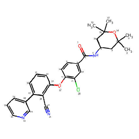 CC1(C)CC(NC(=O)c2ccc(Oc3cccc(-c4cccnc4)c3C#N)c(Cl)c2)CC(C)(C)O1